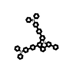 c1ccc(-c2ccc(-n3c4ccc(-c5ccc(-c6ccc(N(c7ccccc7)c7ccccc7)cc6)cc5)cc4c4cc(-c5ccc(-c6ccc(N(c7ccccc7)c7ccccc7)cc6)cc5)ccc43)c(-c3ccccc3)c2)cc1